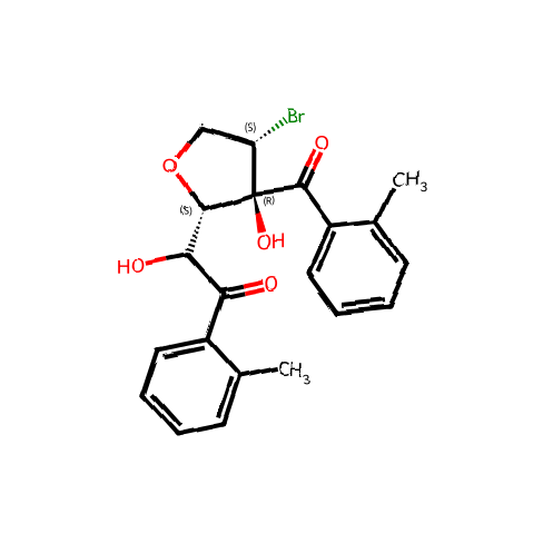 Cc1ccccc1C(=O)C(O)[C@@H]1O[CH][C@H](Br)[C@]1(O)C(=O)c1ccccc1C